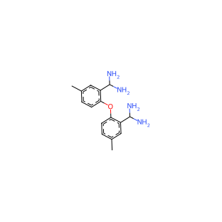 Cc1ccc(Oc2ccc(C)cc2C(N)N)c(C(N)N)c1